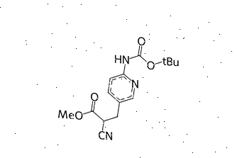 COC(=O)C(C#N)Cc1ccc(NC(=O)OC(C)(C)C)nc1